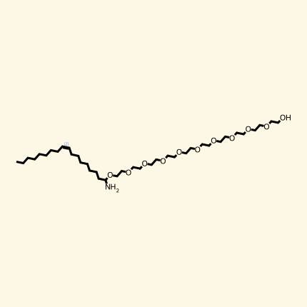 CCCCCCCC/C=C\CCCCCCCC(N)OCCOCCOCCOCCOCCOCCOCCOCCOCCOCCO